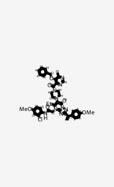 C=C(c1ccc(OC)cc1)c1nc2n(CC(=O)Nc3ccc(OC)cc3Cl)c(CC)c(N3CCN(C(=O)c4ncnc(C)c4OCc4ccccc4)CC3)c(=O)n2n1